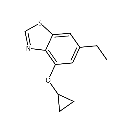 CCc1cc(OC2CC2)c2ncsc2c1